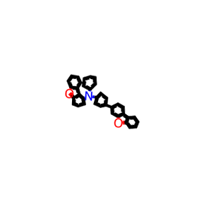 c1ccc(N(c2ccc(-c3ccc4c(c3)oc3ccccc34)cc2)c2cccc3oc4ccccc4c23)cc1